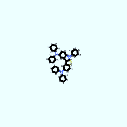 c1ccc(N(c2ccccc2)c2ccc3sc4c(c3c2)c2cc(N(c3ccccc3)c3ccccc3)ccc2n4-c2ccccc2)cc1